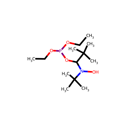 CCOP(OCC)OC(N(O)C(C)(C)C)C(C)(C)C